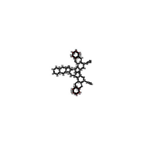 N#Cc1cc2c(c3c1C1c4ccccc4C3c3ccccc31)c1cc3c4cc5ccccc5cc4oc3c3c4c5c(c(C#N)cc4n2c13)C1c2ccccc2C5c2ccccc21